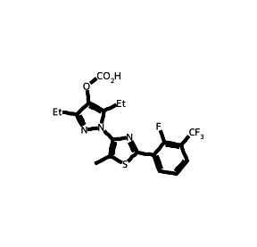 CCc1nn(-c2nc(-c3cccc(C(F)(F)F)c3F)sc2C)c(CC)c1OC(=O)O